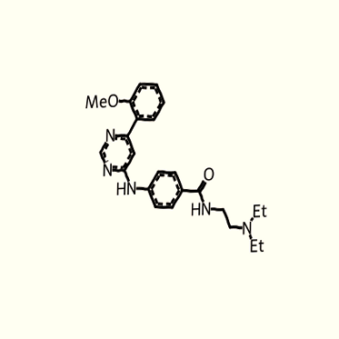 CCN(CC)CCNC(=O)c1ccc(Nc2cc(-c3ccccc3OC)ncn2)cc1